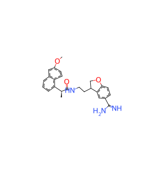 COc1ccc2c([C@H](C)C(=O)NCCC3COc4ccc(C(=N)N)cc43)cccc2c1